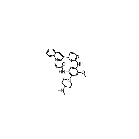 C=CC(=O)Nc1cc(Nc2nccc(-c3cnc4ccccc4c3)n2)c(OC)cc1N1CCC(N(C)C)CC1